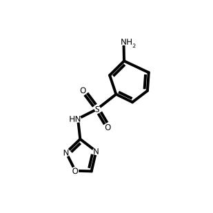 Nc1cccc(S(=O)(=O)Nc2ncon2)c1